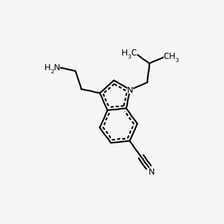 CC(C)Cn1cc(CCN)c2ccc(C#N)cc21